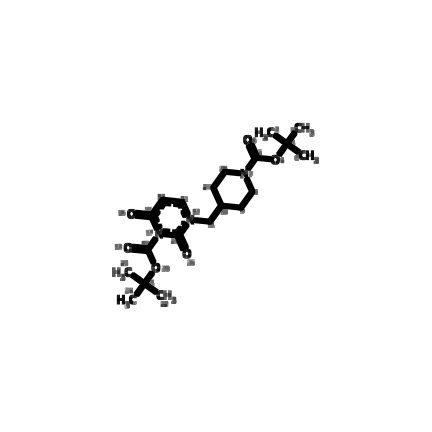 CC(C)(C)OC(=O)N1CCC(Cn2ccc(=O)n(C(=O)OC(C)(C)C)c2=O)CC1